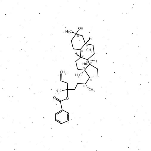 C=CCC(C)(CC[C@@H](C)[C@H]1CC[C@H]2[C@@H]3CC[C@H]4C[C@@](C)(O)CC[C@]4(C)[C@H]3CC[C@]12C)OC(=O)c1ccccc1